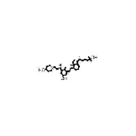 C=C1/C(=C\C=C2/CCC[C@]3(C)[C@@H]([C@H](C)CCCC(C)(C)O)CC[C@@H]23)C[C@@H](O)C[C@@H]1NCCN1CCC(O)CC1